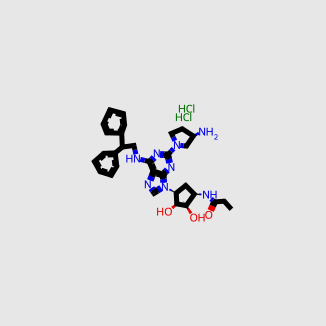 CCC(=O)N[C@H]1C[C@@H](n2cnc3c(NCC(c4ccccc4)c4ccccc4)nc(N4CC[C@@H](N)C4)nc32)[C@H](O)[C@@H]1O.Cl.Cl